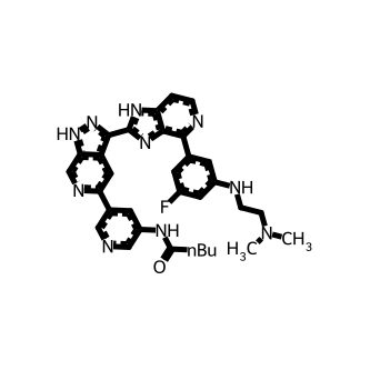 CCCCC(=O)Nc1cncc(-c2cc3c(-c4nc5c(-c6cc(F)cc(NCCN(C)C)c6)nccc5[nH]4)n[nH]c3cn2)c1